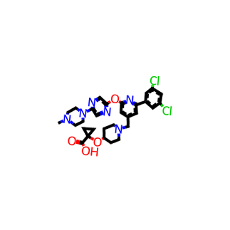 CN1CCN(c2cnc(Oc3cc(CN4CCC(OC5(C(=O)O)CC5)CC4)cc(-c4cc(Cl)cc(Cl)c4)n3)cn2)CC1